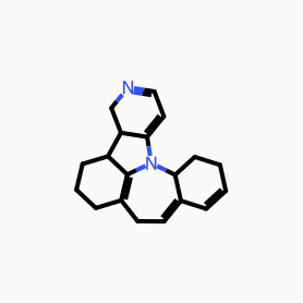 C1=CC2=CCC3=C4C(CCC3)C3CN=CC=C3N4C2CC1